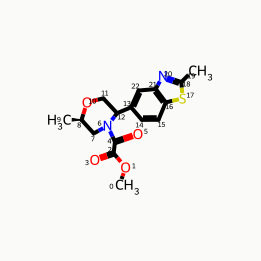 COC(=O)C(=O)N1C[C@@H](C)OCC1c1ccc2sc(C)nc2c1